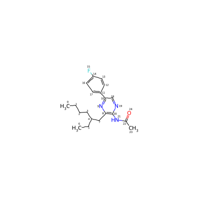 CCCCC(CC)Cc1nc(-c2ccc(F)cc2)cnc1NC(C)=O